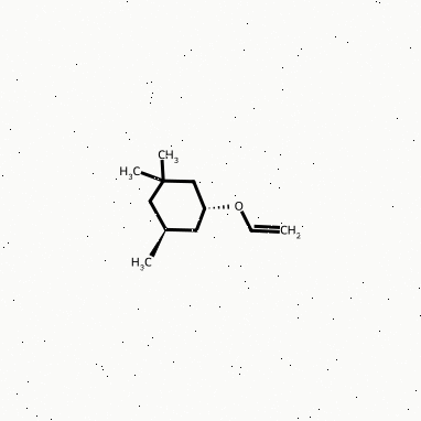 C=CO[C@@H]1C[C@@H](C)CC(C)(C)C1